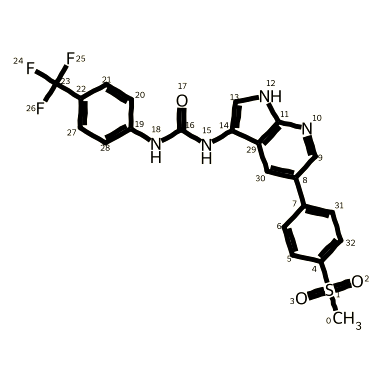 CS(=O)(=O)c1ccc(-c2cnc3[nH]cc(NC(=O)Nc4ccc(C(F)(F)F)cc4)c3c2)cc1